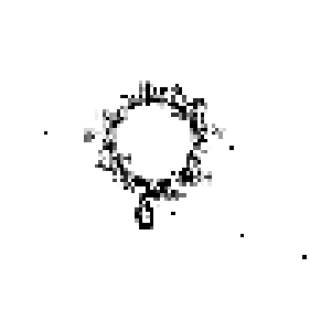 CC(C)C[C@@H]1C(=O)N[C@H](CC(C)C)C(=O)N(C)[C@H](C(C)C)C(=O)N(C)[C@H]([C@H](O)[C@H](C)CCN2CC3CCC(C2)O3)C(=O)N[C@H]([C@@H](C)O)C(=O)N(C)CC(=O)N(C)[C@@H](CC(C)C)C(=O)N[C@H](CC(C)C)C(=O)N(C)[C@H](CC(C)C)C(=O)N[C@H](C)C(=O)O[C@@H](C(C)C)C(=O)N1C